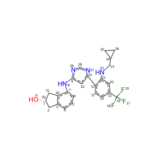 O[C@H]1Cc2cccc(Nc3cc(-c4ccc(C(F)(F)F)cc4NCC4CC4)ncn3)c2C1